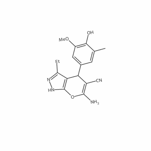 CCc1n[nH]c2c1C(c1cc(C)c(O)c(OC)c1)C(C#N)=C(N)O2